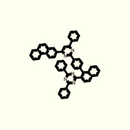 c1ccc(-c2cc(-c3ccc4c(ccc5ccccc54)c3)nc(-c3ccc(-c4c(-c5nc(-c6ccccc6)nc(-c6ccccc6)n5)ccc5ccccc45)cc3)n2)cc1